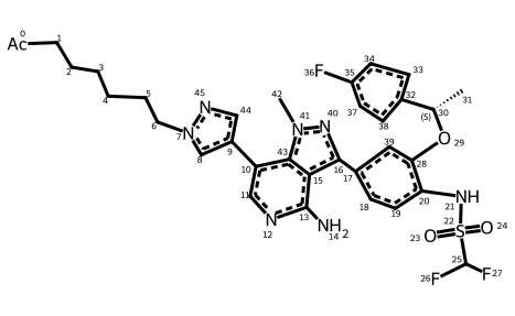 CC(=O)CCCCCCn1cc(-c2cnc(N)c3c(-c4ccc(NS(=O)(=O)C(F)F)c(O[C@@H](C)c5ccc(F)cc5)c4)nn(C)c23)cn1